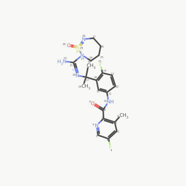 Cc1cc(F)cnc1C(=O)Nc1ccc(F)c(C(C)(C)/N=C(/N)N2CCCCN=[SH]2=O)c1